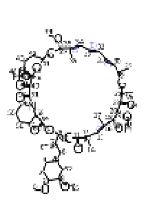 COC1CC[C@@H](C[C@@H](C)[C@@H]2CC(=O)[C@H](C)/C=C(\C)[C@@H](O)[C@@H](OC)C(=O)[C@H](C)C[C@H](C)/C=C/C=C/C=C(\C)[C@@H](OC)CC3CC[C@@H](C)[C@@](O)(O3)C(=O)C(=O)N3CCCCC3C(=O)O2)C[C@H]1OC